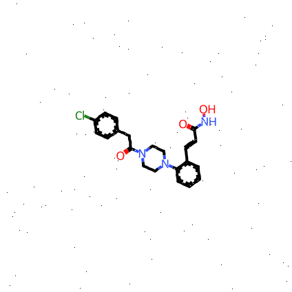 O=C(/C=C/c1ccccc1N1CCN(C(=O)Cc2ccc(Cl)cc2)CC1)NO